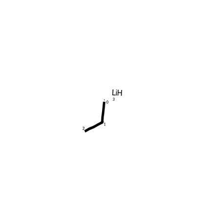 [CH2]CC.[LiH]